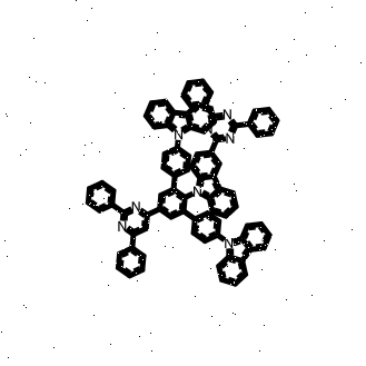 c1ccc(-c2cc(-c3cc(-c4ccc(-n5c6ccccc6c6ccccc65)cc4)c(-n4c5ccccc5c5cc(-c6nc(-c7ccccc7)nc(-c7ccccc7)n6)ccc54)c(-c4ccc(-n5c6ccccc6c6ccccc65)cc4)c3)nc(-c3ccccc3)n2)cc1